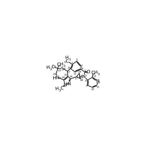 Cc1ccc(C(=O)Nc2cccnc2C)cc1C1SC(C)(C)CNc2c1c(C1CC1)nn2C